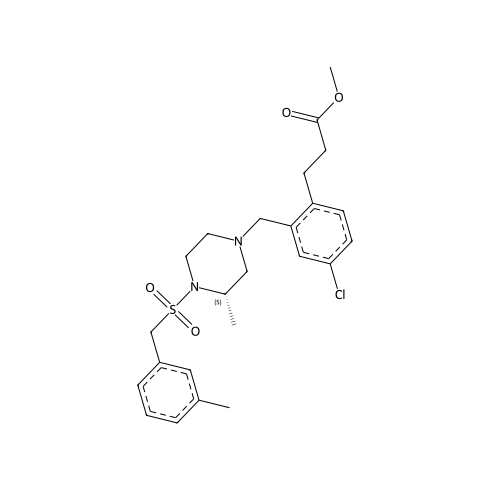 COC(=O)CCc1ccc(Cl)cc1CN1CCN(S(=O)(=O)Cc2cccc(C)c2)[C@@H](C)C1